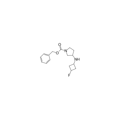 O=C(OCc1ccccc1)N1CCC(NC2CC(F)C2)C1